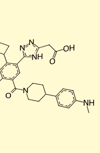 CNc1ccc(C2CCN(C(=O)c3cc(-c4nnc(CC(=O)O)[nH]4)c(C4CCC4)cc3C)CC2)cc1